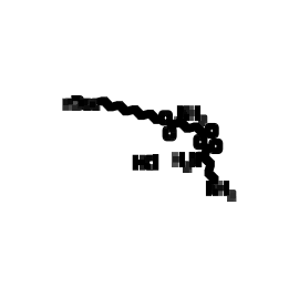 CCCCCCCCCCCCCCCCCCOC(=O)[C@H](N)CCC(=O)OC(=O)[C@H](N)CCCN.Cl